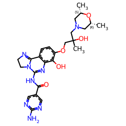 C[C@@H]1CN(CC(C)(O)COc2ccc3c(c2O)N=C(NC(=O)c2cnc(N)nc2)N2CCN=C32)C[C@H](C)O1